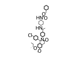 CC[C@@H](C)Oc1cc2c(cc1OC)CC(=O)N(c1ccc(C(C)N[C@H]3CC[C@H](NC(=O)OCc4ccccc4)CC3)cc1)C2c1ccc(Cl)cc1